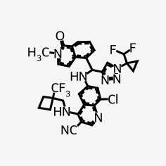 Cn1ccc2c(C(Nc3cc(Cl)c4ncc(C#N)c(NCC5(C(F)(F)F)CCC5)c4c3)c3cn(C4(C(F)F)CC4)nn3)cccc2c1=O